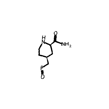 NC(=O)[C@H]1C[C@@H](CP=O)CCN1